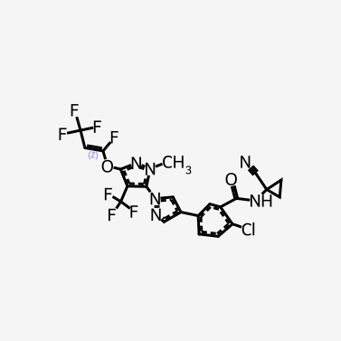 Cn1nc(O/C(F)=C/C(F)(F)F)c(C(F)(F)F)c1-n1cc(-c2ccc(Cl)c(C(=O)NC3(C#N)CC3)c2)cn1